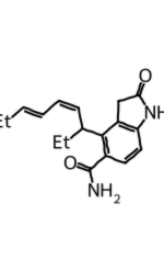 CC/C=C/C=C\C(CC)c1c(C(N)=O)ccc2c1CC(=O)N2